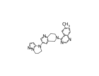 Cc1ccc2ncnc(N3CCc4ncc(N5CCCn6nccc65)cc4C3)c2c1